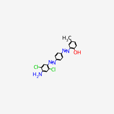 Cc1ccc(O)c(N=Nc2ccc(N=Nc3cc(Cl)c(N)cc3Cl)cc2)c1